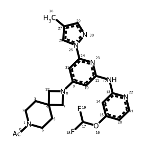 CC(=O)N1CCC2(CC1)CN(c1cc(Nc3cc(OC(F)F)ccn3)nc(-n3cc(C)cn3)c1)C2